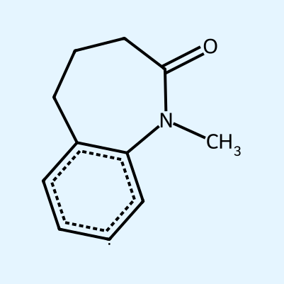 CN1C(=O)CCCc2cc[c]cc21